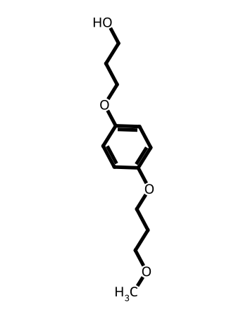 COCCCOc1ccc(OCCCO)cc1